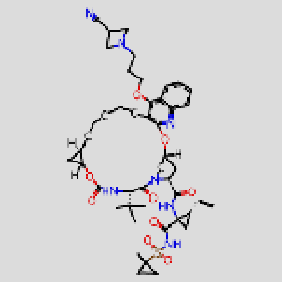 C=C[C@@H]1C[C@]1(NC(=O)[C@@H]1C[C@@H]2CN1C(=O)[C@H](C(C)(C)C)NC(=O)O[C@@H]1C[C@H]1CCCCCc1c(nc3ccccc3c1OCCCN1CC(C#N)C1)O2)C(=O)NS(=O)(=O)C1(C)CC1